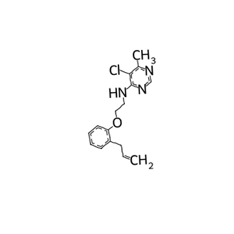 C=CCc1ccccc1OCCNc1ncnc(C)c1Cl